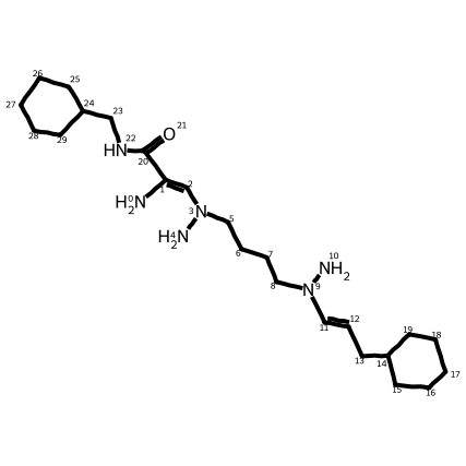 N/C(=C\N(N)CCCCN(N)/C=C/CC1CCCCC1)C(=O)NCC1CCCCC1